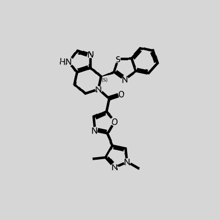 Cc1nn(C)cc1-c1ncc(C(=O)N2CCc3[nH]cnc3[C@H]2c2nc3ccccc3s2)o1